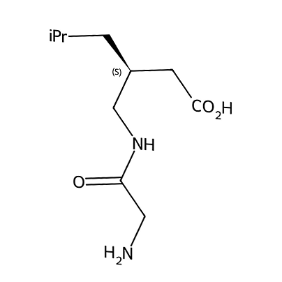 CC(C)C[C@H](CNC(=O)CN)CC(=O)O